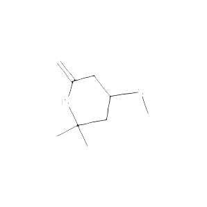 C=C1CC(NC)CC(C)(C)N1